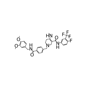 CNC1=C(C(=O)Nc2ccc(F)c(C(F)(F)F)c2)CN(Cc2ccc(C(=O)NCc3ccc(OC)c(OC)c3)cc2)CC1